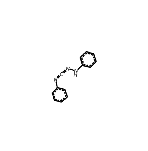 C(=NNc1ccccc1)=Nc1ccccc1